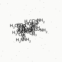 CC(C)C[C@H](N)C(=O)N[C@H](C(=O)N[C@@H](CCCN=C(N)N)C(=O)N[C@@H](Cc1ccc(O)cc1)C(=O)N[C@@H](C)C(=O)N[C@@H](CCCCN)C(=O)N[C@@H](CCCCN)C(=O)N[C@H](C(=O)O)C(C)C)C(C)C